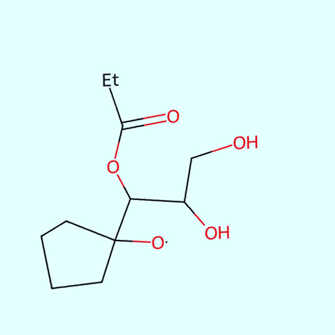 CCC(=O)OC(C(O)CO)C1([O])CCCC1